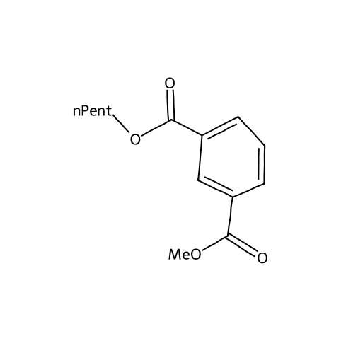 CCCCCOC(=O)c1cccc(C(=O)OC)c1